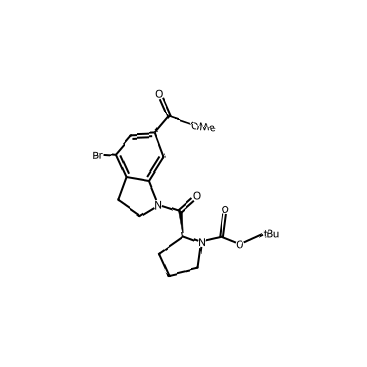 COC(=O)c1cc(Br)c2c(c1)N(C(=O)[C@@H]1CCCN1C(=O)OC(C)(C)C)CC2